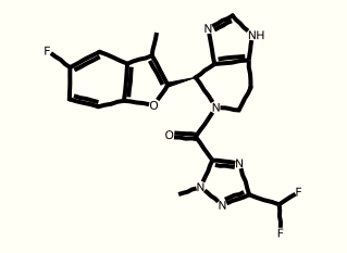 Cc1c([C@H]2c3nc[nH]c3CCN2C(=O)c2nc(C(F)F)nn2C)oc2ccc(F)cc12